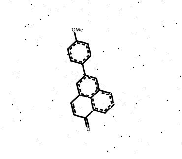 COc1ccc(-c2cc3c4c(cccc4c2)C(=O)C=C3)cc1